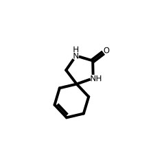 O=C1NCC2(CC=CCC2)N1